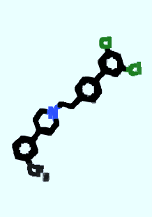 FC(F)(F)c1cccc(C2=CCN(CCc3ccc(-c4cc(Cl)cc(Cl)c4)cc3)CC2)c1